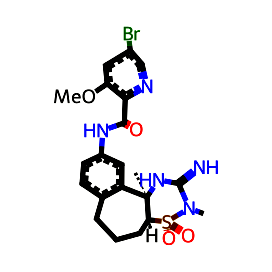 COc1cc(Br)cnc1C(=O)Nc1ccc2c(c1)[C@@]1(C)NC(=N)N(C)S(=O)(=O)[C@H]1CCC2